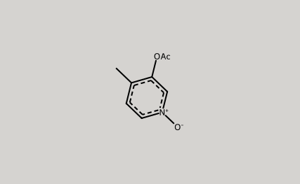 CC(=O)Oc1c[n+]([O-])ccc1C